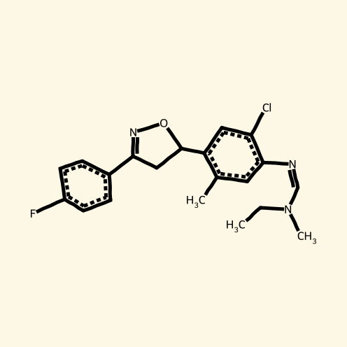 CCN(C)/C=N\c1cc(C)c(C2CC(c3ccc(F)cc3)=NO2)cc1Cl